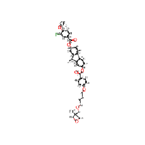 CCC1(COCCCCOc2ccc(C(=O)Oc3ccc4c(c3)C(C)c3cc(OC(=O)c5ccc(OC(F)(F)F)c(F)c5)ccc3-4)cc2)COC1